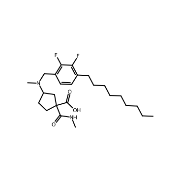 CCCCCCCCCc1ccc(CN(C)C2CCC(C(=O)O)(C(=O)NC)C2)c(F)c1F